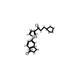 O=C(CCC1CCCC1)C1=C[SH](c2ccc3c(c2)CCC3=O)C=C1